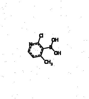 Cc1ccnc(Cl)c1B(O)O